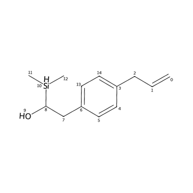 C=CCc1ccc(CC(O)[SiH](C)C)cc1